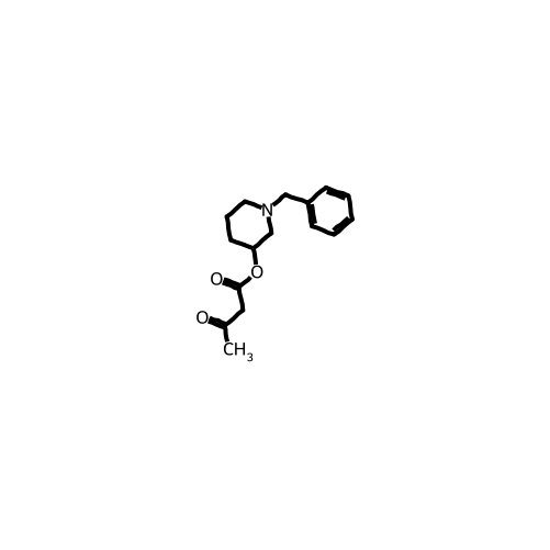 CC(=O)CC(=O)OC1CCCN(Cc2ccccc2)C1